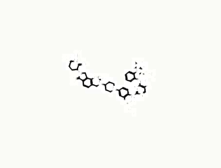 COc1cc(N2CCC(N(C)Cc3ccc4c(c3Br)CN(C3CCC(=O)NC3=O)C4=O)CC2)ccc1Nc1ncc(Cl)c(Nc2ccccc2P(=O)(OC)OC)n1